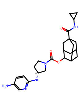 Nc1ccc(N[C@@H]2CCN(C(=O)OC3C4CC5CC3CC(C(=O)NC3CC3)(C5)C4)C2)nc1